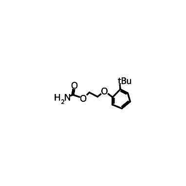 CC(C)(C)c1ccccc1OCCOC(N)=O